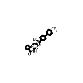 CCn1c(Cn2c3c(c(=O)[nH]c2=S)CCC3)nnc1-c1ccc(-c2ccc(C(F)(F)F)cc2)cc1